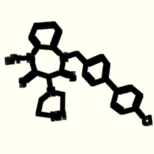 CCCN1C(=S)C(N2CCNCC2)C(=S)N(Cc2ccc(-c3ccc(Cl)cc3)cc2)c2ccccc21